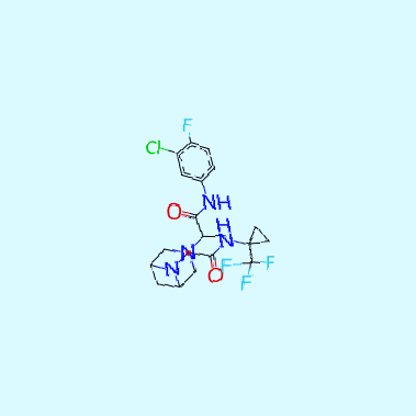 CC(C(=O)Nc1ccc(F)c(Cl)c1)N1CC2CC(C1)N2CC(=O)NC1(C(F)(F)F)CC1